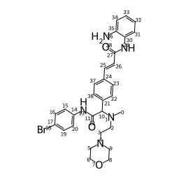 CN(CCN1CCOCC1)C(C(=O)Nc1ccc(Br)cc1)c1ccc(C=CC(=O)Nc2ccccc2N)cc1